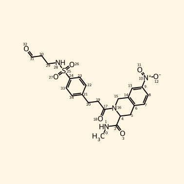 CNC(=O)C1Cc2ccc([N+](=O)[O-])cc2CN1C(=O)CCc1ccc(S(=O)(=O)NCCC=O)cc1